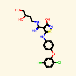 N=C(NCCC(O)CO)c1c(O)nsc1Nc1ccc(Oc2cc(Cl)ccc2Cl)cc1